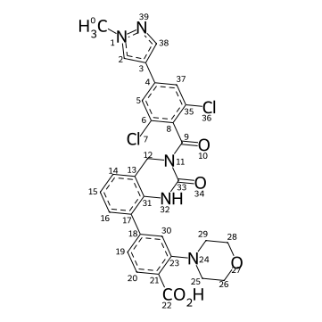 Cn1cc(-c2cc(Cl)c(C(=O)N3Cc4cccc(-c5ccc(C(=O)O)c(N6CCOCC6)c5)c4NC3=O)c(Cl)c2)cn1